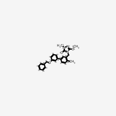 COc1nn(C)c(=O)n1Cc1cc(-c2cccc(OCc3ccccc3)c2)ccc1C